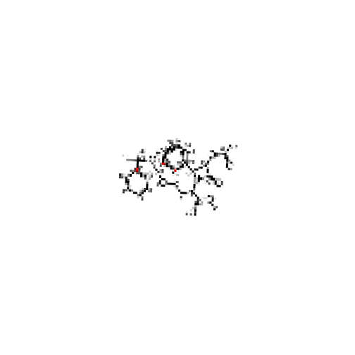 COC(=O)C(CCO[Si](OC(C)(C)C)(c1ccccc1)c1ccccc1)N1C(=O)C(OC(C)=O)C1c1ccccc1